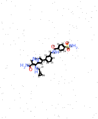 C[C@@H](Nc1c(C(N)=O)cnn2cc(-c3cccc(CNC(=O)c4ccc(S(N)(=O)=O)cc4)c3)cc12)C1CC1